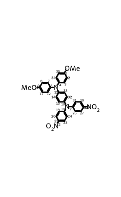 COc1ccc(N(c2ccc(OC)cc2)c2ccc(N(c3ccc([N+](=O)[O-])cc3)c3ccc([N+](=O)[O-])cc3)cc2)cc1